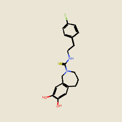 Oc1cc2c(cc1O)CN(C(=S)NCCc1ccc(F)cc1)CCC2